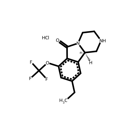 CCc1cc(OC(F)(F)F)c2c(c1)[C@@H]1CNCCN1C2=O.Cl